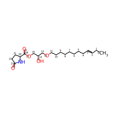 CCC=CCCCCCCCCOCC(O)COC(=O)C1CCC(=O)N1